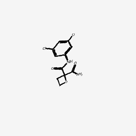 NC(=O)C1(C(=O)Nc2cc(Cl)cc(Cl)c2)CCO1